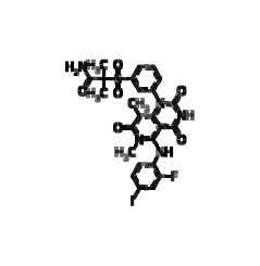 Cc1c(=O)n(C)c(Nc2ccc(I)cc2F)c2c(=O)[nH]c(=O)n(-c3cccc(S(=O)(=O)C(C)(C)C(N)=O)c3)c12